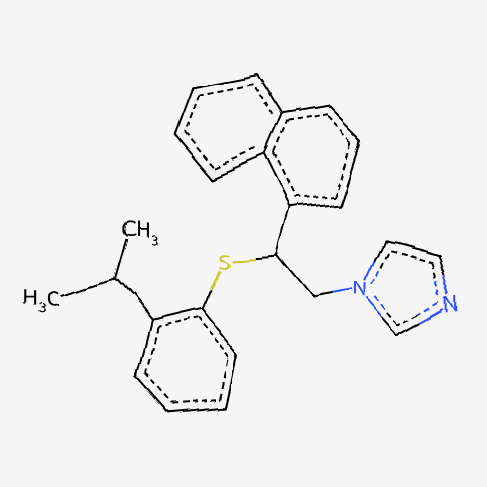 CC(C)c1ccccc1SC(Cn1ccnc1)c1cccc2ccccc12